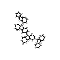 c1cnc2c(c1)oc1c(-n3c4ccccc4c4cc(-n5c6ccccc6c6cc(-n7c8ccccc8c8ccccc87)ccc65)ccc43)ccnc12